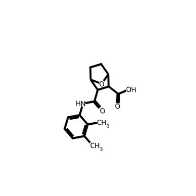 Cc1cccc(NC(=O)C2C3CCC(O3)C2C(=O)O)c1C